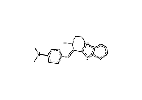 CC1CC[n+]2c(sc3ccccc32)C1=Cc1ccc(N(C)C)cc1